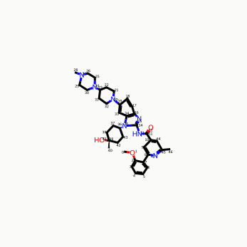 COc1ccccc1-c1cc(C(=O)Nc2nc3ccc(N4CCC(N5CCN(C)CC5)CC4)cc3n2[C@H]2CC[C@@](C)(O)CC2)cc(C)n1